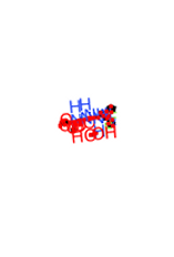 CC(C)(C)OC(=O)CC[C@@H](NC(=O)CCNC(=O)[C@@H](N)CCN[C@@H](c1cc(-c2cc(F)ccc2F)cn1Cc1ccccc1)C(C)(C)C)C(=O)OC(C)(C)C.OCCO